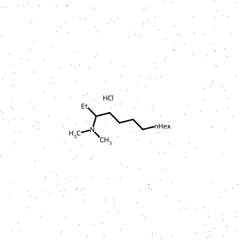 CCCCCCCCCCC(CC)N(C)C.Cl